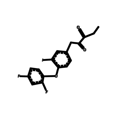 CCC(=O)C(=O)Cc1ccc(Oc2ccc(F)cc2F)c(I)c1